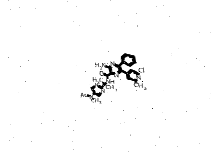 CC(=O)N(C)c1cnc(C(C)(C)NC(=O)c2nc(-c3cc(C)nc(Cl)c3)c(-c3ccccc3)nc2N)nc1